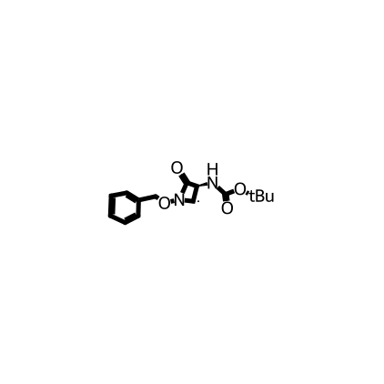 CC(C)(C)OC(=O)N[C@H]1[CH]N(OCc2ccccc2)C1=O